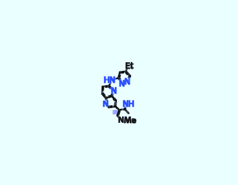 CCc1cnnc(Nc2ccc3ncc(/C(=C/NC)C(C)=N)cc3n2)c1